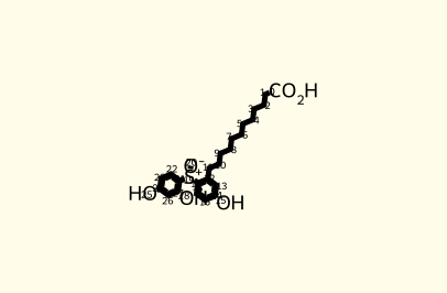 O=C(O)CCCCCCCCCCCc1cc(O)ccc1[S+]([O-])c1ccc(O)cc1O